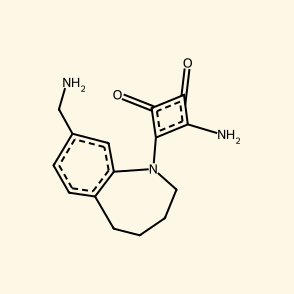 NCc1ccc2c(c1)N(c1c(N)c(=O)c1=O)CCCC2